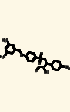 C=C1CCC(C(CS(=O)(=O)c2ccc(OCc3cc(C)cc(C)c3)cc2)N(O)C=O)CC1